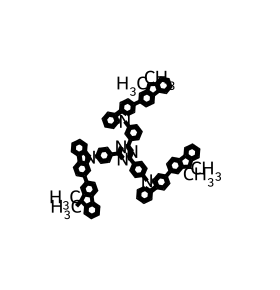 CC1(C)c2ccccc2-c2ccc(-c3ccc4c5ccccc5n(-c5ccc(-c6nc(-c7ccc(-n8c9ccccc9c9ccc(-c%10ccc%11c(c%10)C(C)(C)c%10ccccc%10-%11)cc98)cc7)nc(-c7cccc(-n8c9ccccc9c9ccc(-c%10ccc%11c(c%10)C(C)(C)c%10ccccc%10-%11)cc98)c7)n6)cc5)c4c3)cc21